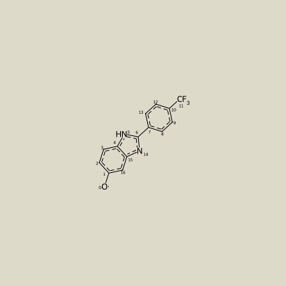 [O]c1ccc2[nH]c(-c3ccc(C(F)(F)F)cc3)nc2c1